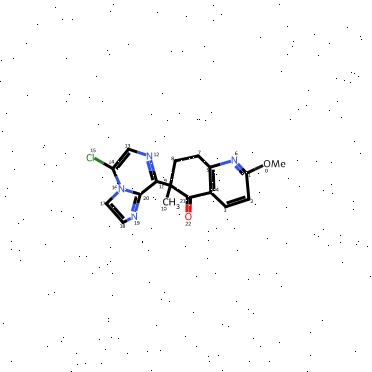 COc1ccc2c(n1)CCC(C)(c1ncc(Cl)n3ccnc13)C2=O